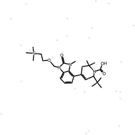 Cn1c(=O)n(COCC[Si](C)(C)C)c2cccc(C3=CC(C(C)(C)C)N(C(=O)O)C(C)(C)C3)c21